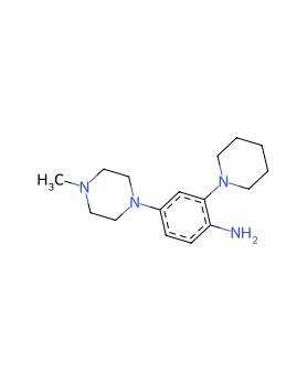 CN1CCN(c2ccc(N)c(N3CCCCC3)c2)CC1